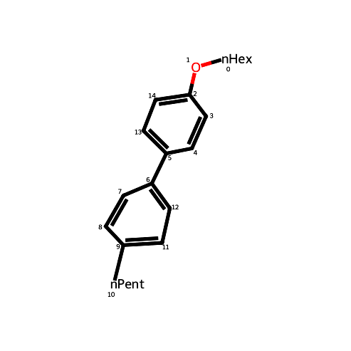 CCCCCCOc1ccc(-c2ccc(CCCCC)cc2)cc1